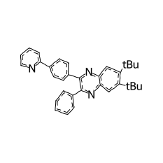 CC(C)(C)c1cc2nc(-c3ccccc3)c(-c3ccc(-c4ccccn4)cc3)nc2cc1C(C)(C)C